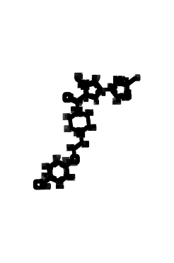 Cc1nc(-c2cc(C(=O)N3CCN(CCOc4ccc(Cl)cc4)CC3)n(C)c2)cs1